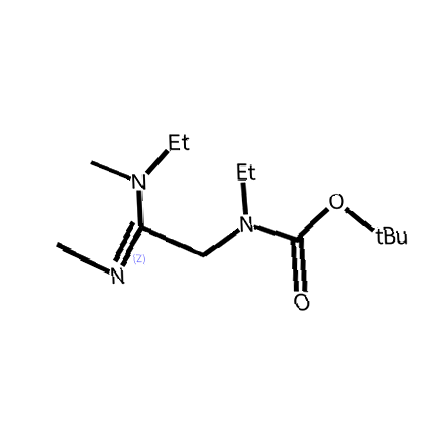 CCN(C/C(=N/C)N(C)CC)C(=O)OC(C)(C)C